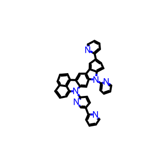 c1ccc(-c2ccc(N3c4cc5c(cc4-c4cccc6cccc3c46)c3cc(-c4ccccn4)ccc3n5-c3ccccn3)nc2)nc1